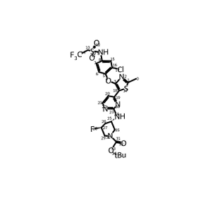 Cc1nc(Oc2ccc(NS(=O)(=O)CC(F)(F)F)cc2Cl)c(-c2ccnc(N[C@H]3C[C@H](F)CN(C(=O)OC(C)(C)C)C3)n2)s1